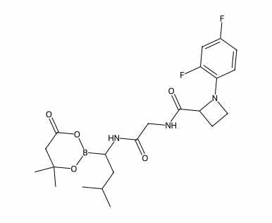 CC(C)CC(NC(=O)CNC(=O)C1CCN1c1ccc(F)cc1F)B1OC(=O)CC(C)(C)O1